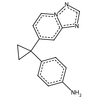 Nc1ccc(C2(c3ccn4ncnc4c3)CC2)cc1